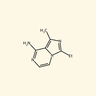 CCc1nc(C)c2c(N)nccn12